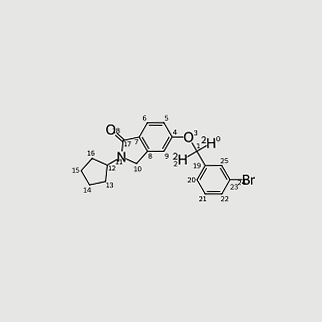 [2H]C([2H])(Oc1ccc2c(c1)CN(C1CCCC1)C2=O)c1cccc(Br)c1